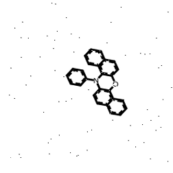 c1ccc(N2c3ccc4ccccc4c3Oc3ccc4ccccc4c32)cc1